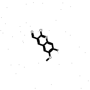 COc1cc2cc(C=O)c(Cl)nc2cc1F